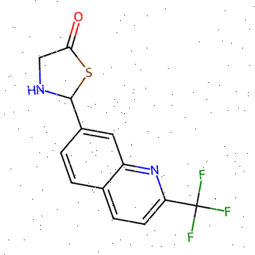 O=C1CNC(c2ccc3ccc(C(F)(F)F)nc3c2)S1